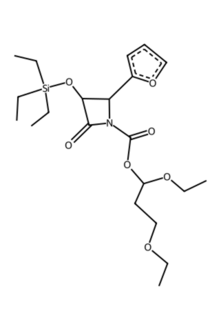 CCOCCC(OCC)OC(=O)N1C(=O)C(O[Si](CC)(CC)CC)C1c1ccco1